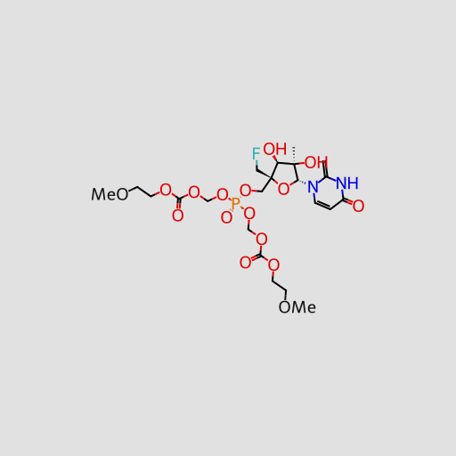 C=C1NC(=O)C=CN1[C@@H]1O[C@](CF)(COP(=O)(OCOC(=O)OCCOC)OCOC(=O)OCCOC)[C@@H](O)[C@@]1(C)O